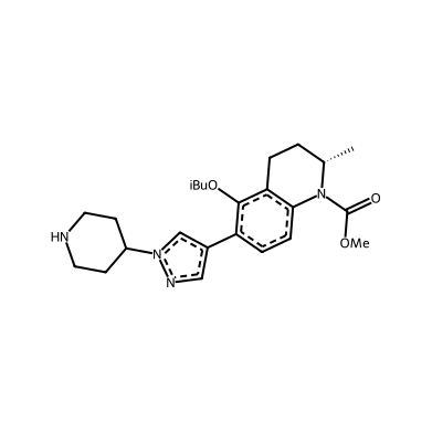 COC(=O)N1c2ccc(-c3cnn(C4CCNCC4)c3)c(OCC(C)C)c2CC[C@@H]1C